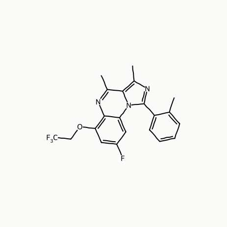 Cc1ccccc1-c1nc(C)c2c(C)nc3c(OCC(F)(F)F)cc(F)cc3n12